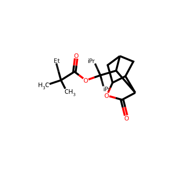 CCC(C)(C)C(=O)OC(C(C)C)(C(C)C)C1C2CC3OC(=O)C1C3C2